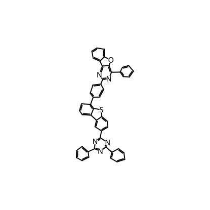 c1ccc(-c2nc(-c3ccccc3)nc(-c3ccc4sc5c(-c6ccc(-c7nc(-c8ccccc8)c8oc9ccccc9c8n7)cc6)cccc5c4c3)n2)cc1